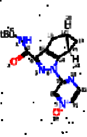 CC(C)(C)NC(=O)c1nn(-c2c[n+]([O-])ccn2)c2c1C[C@H]1C[C@@H]21